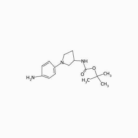 CC(C)(C)OC(=O)NC1CCN(c2ccc(N)cc2)C1